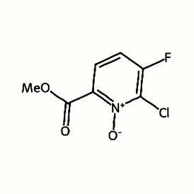 COC(=O)c1ccc(F)c(Cl)[n+]1[O-]